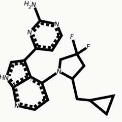 Nc1nccc(-c2c[nH]c3nccc(N4CC(F)(F)CC4CC4CC4)c23)n1